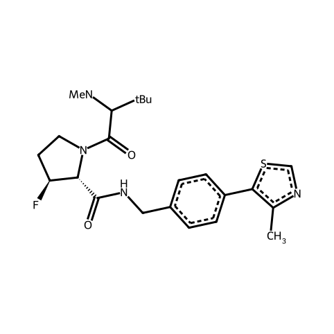 CNC(C(=O)N1CC[C@H](F)[C@H]1C(=O)NCc1ccc(-c2scnc2C)cc1)C(C)(C)C